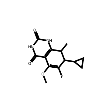 COC1=C(F)C(C2CC2)C(C)c2[nH]c(=O)[nH]c(=O)c21